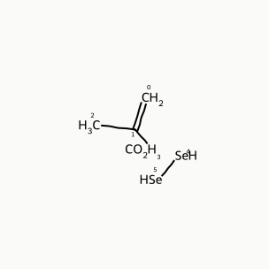 C=C(C)C(=O)O.[SeH][SeH]